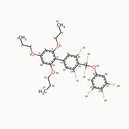 CCCOc1cc(OCCC)c(-c2cc(F)c(C(F)(F)Oc3cc(F)c(F)c(F)c3)c(F)c2)c(OCCC)c1